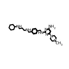 CN1CCN(c2cc(N)nc(NCc3ccc(CNCCCNC4CCCCC4)cc3)n2)CC1